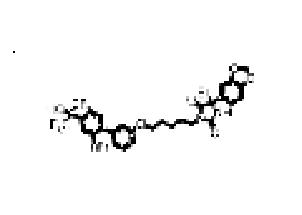 CCCc1cc(C(O)(C(F)(F)F)C(F)(F)F)ccc1-c1cccc(OCCCCCN2C(=O)NC(CC)(c3ccc4c(c3)OCO4)C2=O)c1